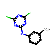 O=C(O)c1cccc(Nc2nc(Cl)nc(Cl)n2)c1